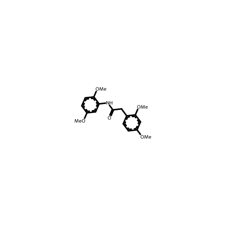 COc1ccc(OC)c(NC(=O)Cc2ccc(OC)cc2OC)c1